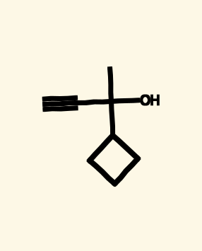 C#CC(C)(O)C1CCC1